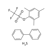 Cc1cc(C)c(OS(=O)(=O)C(F)(F)F)c(C)c1.S.c1ccc(-c2ccccc2)cc1